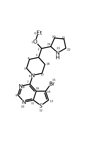 CCOC(C1CCN(c2ncnc3scc(Br)c23)CC1)C1CCCN1